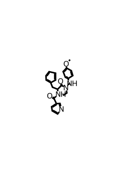 CCN(Nc1ccc(OC)cc1)C(=O)C(Cc1ccccc1)NC(=O)c1cccnc1